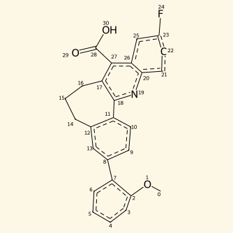 COc1ccccc1-c1ccc2c(c1)CCCc1c-2nc2ccc(F)cc2c1C(=O)O